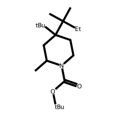 CCC(C)(C)C1(C(C)(C)C)CCN(C(=O)OC(C)(C)C)C(C)C1